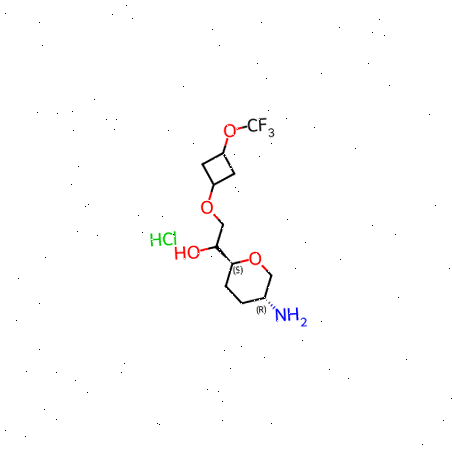 Cl.N[C@@H]1CC[C@@H](C(O)COC2CC(OC(F)(F)F)C2)OC1